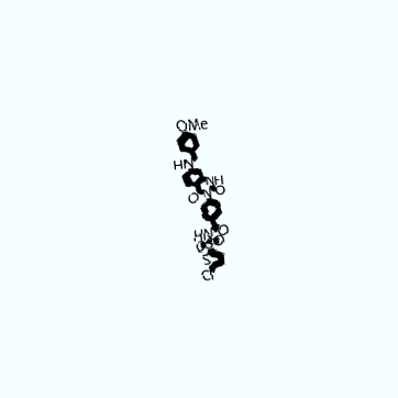 COc1ccc(CNc2ccc3c(=O)n(-c4ccc(C(=O)NS(=O)(=O)c5ccc(Cl)s5)cc4)c(=O)[nH]c3c2)cc1